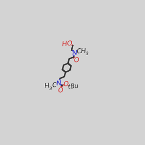 CN(CCO)C(=O)CC1CCC(CCN(C)C(=O)OC(C)(C)C)CC1